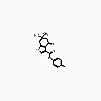 CC1(C)CC(=O)c2c(C(=O)Nc3ccc(F)cc3)c[nH]c2C1